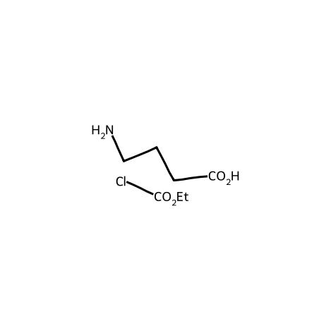 CCOC(=O)Cl.NCCCC(=O)O